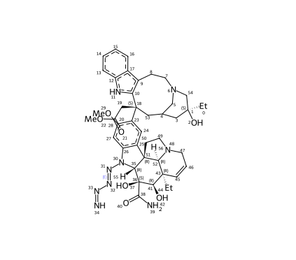 CC[C@]1(O)CC2CN(CCc3c([nH]c4ccccc34)[C@@](CC(=O)OC)(c3cc4c(cc3OC)N(/N=N/N=N)[C@H]3[C@@](O)(C(N)=O)[C@H](O)[C@]5(CC)C=CCN6CC[C@]43[C@@H]65)C2)C1